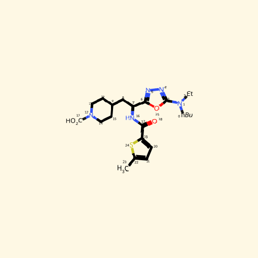 CCCCN(CC)c1nnc(C(CC2CCN(C(=O)O)CC2)NC(=O)c2ccc(C)s2)o1